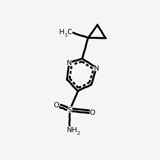 CC1(c2ncc(S(N)(=O)=O)cn2)CC1